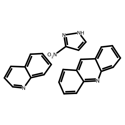 O=[N+]([O-])c1cc[nH]n1.c1ccc2nc3ccccc3cc2c1.c1ccc2ncccc2c1